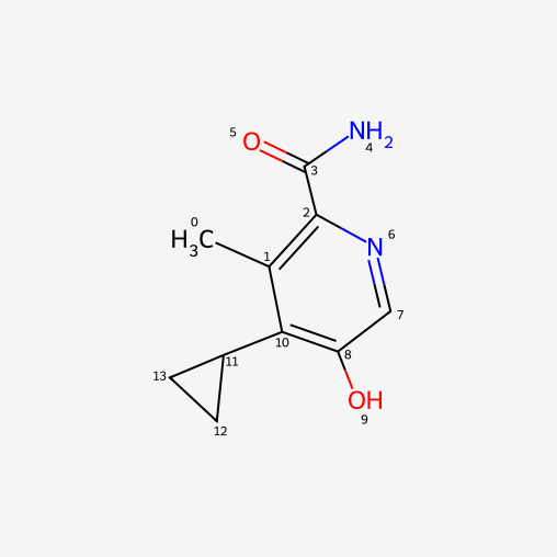 Cc1c(C(N)=O)ncc(O)c1C1CC1